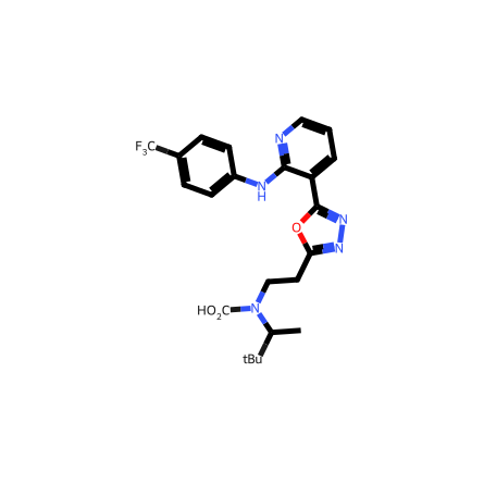 CC(N(CCc1nnc(-c2cccnc2Nc2ccc(C(F)(F)F)cc2)o1)C(=O)O)C(C)(C)C